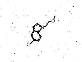 COCCn1ccc2cc(Cl)ccc21